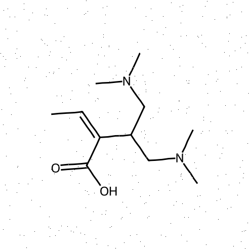 CC=C(C(=O)O)C(CN(C)C)CN(C)C